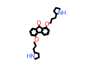 O=C1c2cccc(OCCCC3CCCN3)c2-c2cccc(OCCCC3CCCN3)c21